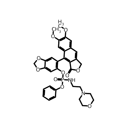 COc1cc2cc3c(c(-c4cc5c(cc4OP(=O)(NCCN4CCOCC4)Oc4ccccc4)OCO5)c2cc1OC)C(=O)OC3